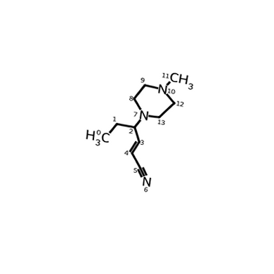 CCC(C=CC#N)N1CCN(C)CC1